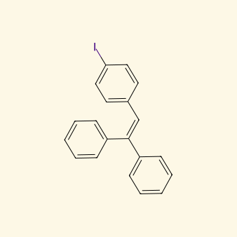 Ic1ccc(C=C(c2ccccc2)c2ccccc2)cc1